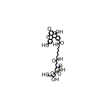 O=C(/C=C/c1cn([C@H]2CC(O)[C@@H](CO)O2)c(=O)[nH]c1=O)NCCCCCCNC(=O)c1ccc(C(=O)O)c(-c2c3ccc(=O)cc-3oc3cc(O)ccc23)c1